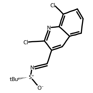 CC(C)(C)[S@@+]([O-])N=Cc1cc2cccc(Cl)c2nc1Cl